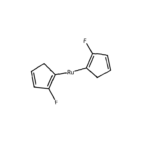 FC1=[C]([Ru][C]2=C(F)C=CC2)CC=C1